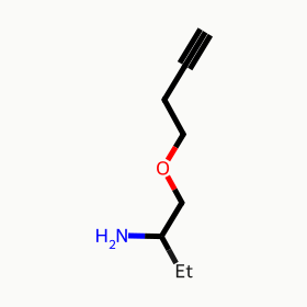 C#CCCOCC(N)CC